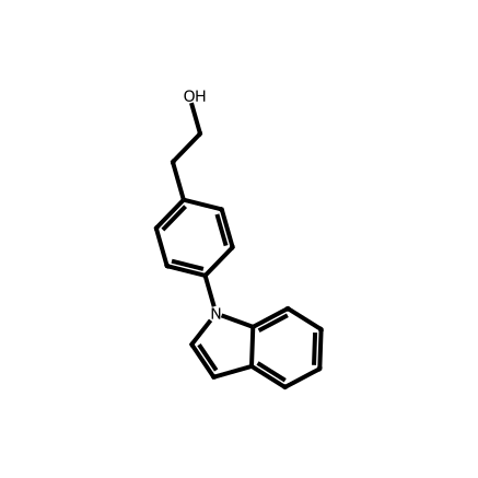 OCCc1ccc(-n2ccc3ccccc32)cc1